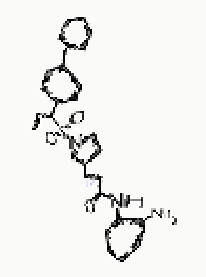 C=CC(c1ccc(-c2ccccc2)cc1)S(=O)(=O)n1ccc(/C=C/C(=O)Nc2ccccc2N)c1